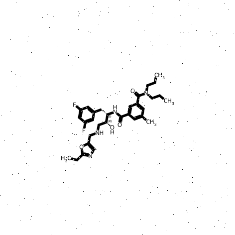 CCCN(CCC)C(=O)c1cc(C)cc(C(=O)N[C@@H](Cc2cc(F)cc(F)c2)[C@H](O)CNCc2cnc(CC)o2)c1